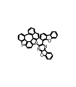 c1cc2c3c(c1)ccc1c3c3c4c(ccc3n1-c1nc3oc5ccccc5c3nc1-c1cccc3c1oc1ccccc13)sc1cccc-2c14